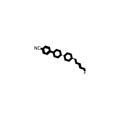 N#Cc1ccc(C2CCC([C@H]3CC[C@H](CC/C=C/CF)CC3)CC2)cc1